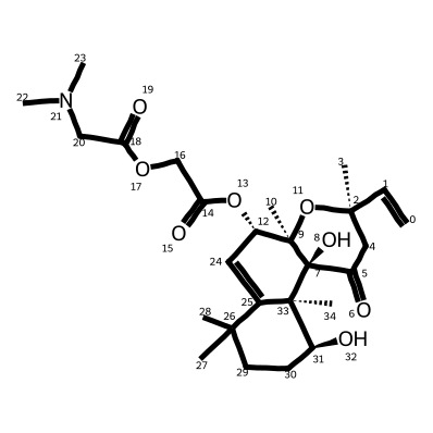 C=C[C@@]1(C)CC(=O)[C@@]2(O)[C@](C)(O1)[C@@H](OC(=O)COC(=O)CN(C)C)C=C1C(C)(C)CC[C@H](O)[C@@]12C